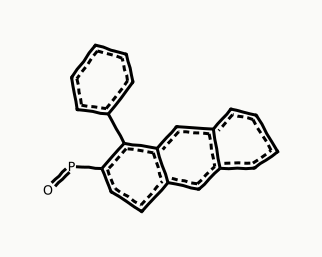 O=Pc1ccc2cc3ccccc3cc2c1-c1ccccc1